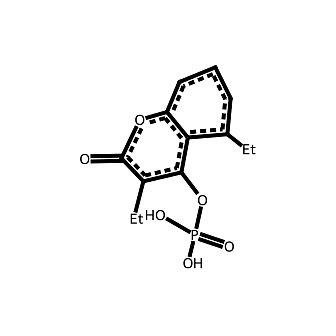 CCc1c(OP(=O)(O)O)c2c(CC)cccc2oc1=O